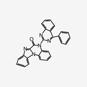 O=c1c2nc3ccccc3n2c2ccccc2n1-c1nc(-c2ccccc2)c2ccccc2n1